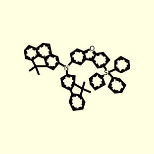 CC1(C)c2ccccc2-c2ccc(N(c3cc4c5c(ccc6cccc(c65)C4(C)C)c3)c3ccc4oc5ccc([Si](c6ccccc6)(c6ccccc6)c6ccccc6)cc5c4c3)cc21